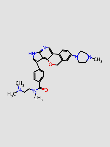 CN(C)CCN(C)C(=O)c1ccc(-c2c[nH]c3ncc4c(c23)OCc2cc(N3CCN(C)CC3)ccc2-4)cc1